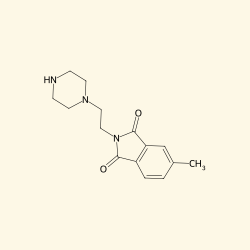 Cc1ccc2c(c1)C(=O)N(CCN1CCNCC1)C2=O